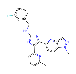 Cc1cccc(-c2[nH]c(NCc3cccc(F)c3)nc2-c2ccc3c(cnn3C)n2)n1